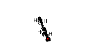 O=C(CCCOc1ccc(CC(NC(=O)OCC23CC4CC(CC(C4)C2)C3)C(=O)O)cc1)NC1=NCCCN1